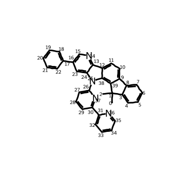 CC1(C)c2ccccc2-c2ccc3c4ncc(-c5ccccc5)cc4n(-c4cccc(-c5ccccn5)n4)c3c21